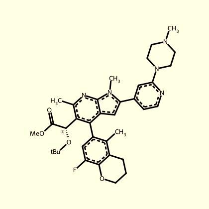 COC(=O)[C@@H](OC(C)(C)C)c1c(C)nc2c(cc(-c3ccnc(N4CCN(C)CC4)c3)n2C)c1-c1cc(F)c2c(c1C)CCCO2